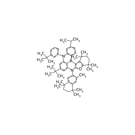 Cc1cc2c(cc1N1c3cc(C(C)(C)C)cc4c3B(c3ccc(C(C)C)cc3N4c3cccc(C(C)(C)C)c3)c3c1oc1c3C(C)(C)CCC1(C)C)C(C)(C)CCC2(C)C